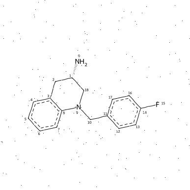 N[C@H]1Cc2ccccc2N(Cc2ccc(F)cc2)C1